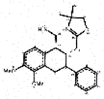 COc1ccc2c(c1OC)CC(c1ccccc1)[C@@H](CC1=NC(C)(C)CO1)[C@@H]2CN